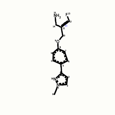 Cn1ccc(-c2ccc(OC/C(=C/F)CN)cc2)n1